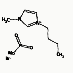 CCCC[n+]1ccn(C)c1.O=[P](=O)[Mo].[Br-]